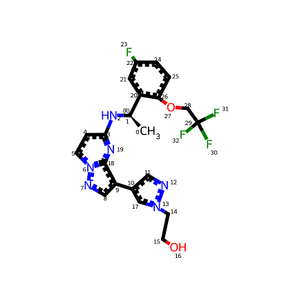 C[C@@H](Nc1ccn2ncc(-c3cnn(CCO)c3)c2n1)c1cc(F)ccc1OCC(F)(F)F